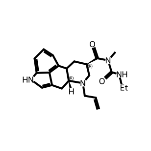 C=CCN1C[C@H](C(=O)N(C)C(=O)NCC)CC2c3cccc4[nH]cc(c34)C[C@H]21